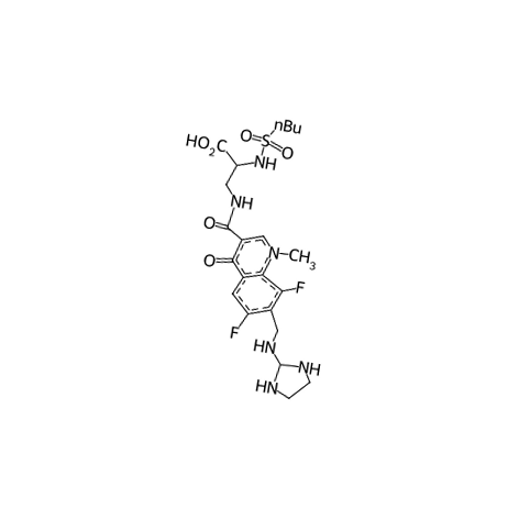 CCCCS(=O)(=O)NC(CNC(=O)c1cn(C)c2c(F)c(CNC3NCCN3)c(F)cc2c1=O)C(=O)O